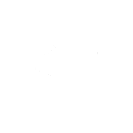 CCCCC(CC)(CN)CN(C)C